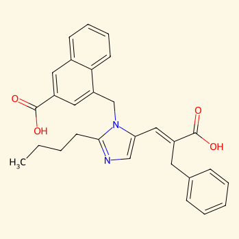 CCCCc1ncc(/C=C(\Cc2ccccc2)C(=O)O)n1Cc1cc(C(=O)O)cc2ccccc12